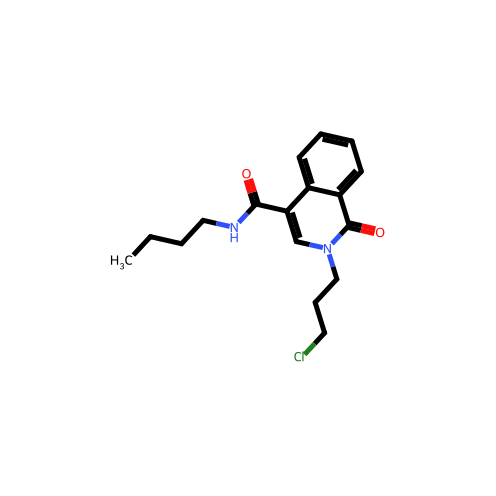 CCCCNC(=O)c1cn(CCCCl)c(=O)c2ccccc12